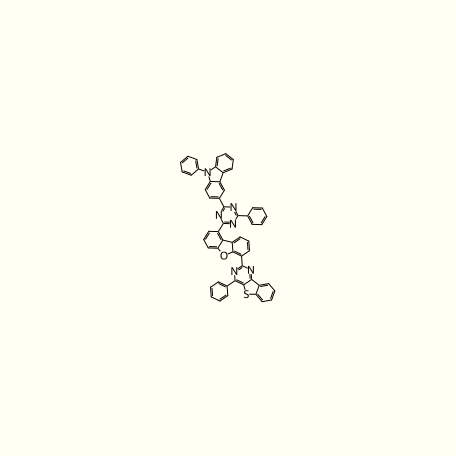 c1ccc(-c2nc(-c3ccc4c(c3)c3ccccc3n4-c3ccccc3)nc(-c3cccc4oc5c(-c6nc(-c7ccccc7)c7sc8ccccc8c7n6)cccc5c34)n2)cc1